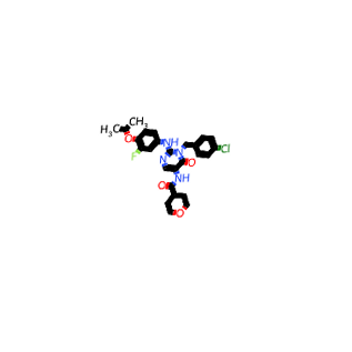 CC(C)Oc1ccc(Nc2ncc(NC(=O)C3CCOCC3)c(=O)n2Cc2ccc(Cl)cc2)cc1F